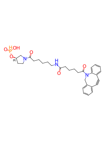 O=C(CCCCC(=O)N1Cc2ccccc2C#Cc2ccccc21)NCCCCCC(=O)N1CC[C@@H](O[PH](=O)O)C1